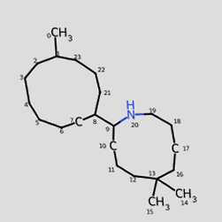 CC1CCCCCCC(C2CCCC(C)(C)CCCCN2)CCC1